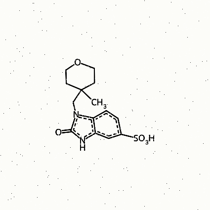 CC1(Cn2c(=O)[nH]c3cc(S(=O)(=O)O)ccc32)CCOCC1